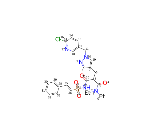 CCN(CC)C(=O)C(Cc1cnn(Cc2ccc(Cl)nc2)c1)C(=O)NS(=O)(=O)C=Cc1ccccc1